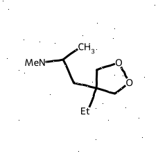 CCC1(CC(C)NC)COOC1